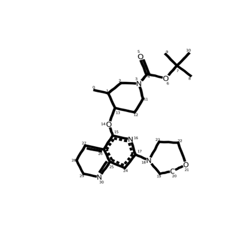 CC1CN(C(=O)OC(C)(C)C)CCC1Oc1nc(N2CCOCC2)cc2c1=CCCN=2